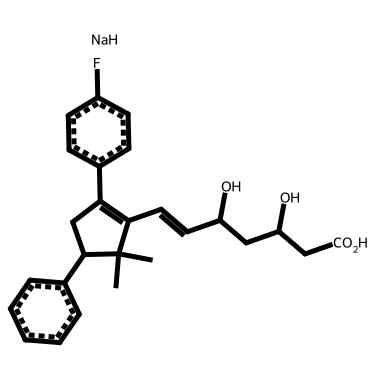 CC1(C)C(C=CC(O)CC(O)CC(=O)O)=C(c2ccc(F)cc2)CC1c1ccccc1.[NaH]